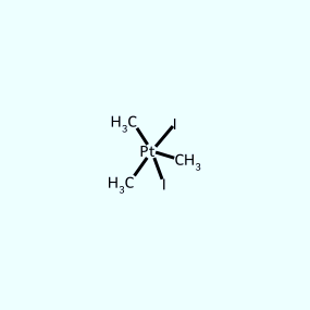 [CH3][Pt]([CH3])([CH3])([I])[I]